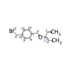 C=C/C(=C\C)OCc1ccc(CBr)cc1